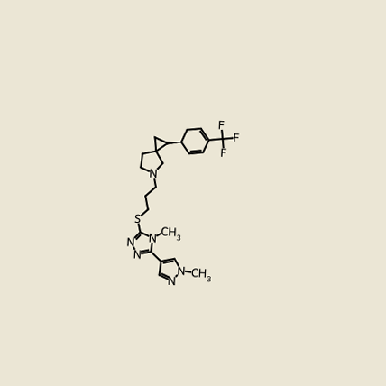 Cn1cc(-c2nnc(SCCCN3CCC4(CC4[C@@H]4C=CC(C(F)(F)F)=CC4)C3)n2C)cn1